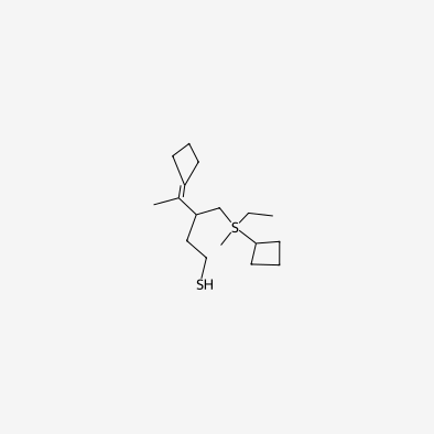 CCS(C)(CC(CCS)C(C)=C1CCC1)C1CCC1